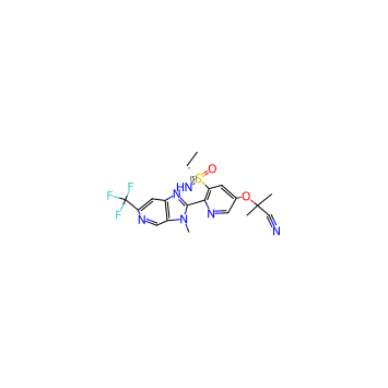 CC[S@](=N)(=O)c1cc(OC(C)(C)C#N)cnc1-c1nc2cc(C(F)(F)F)ncc2n1C